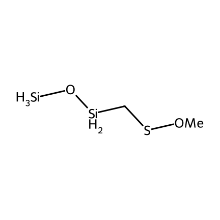 COSC[SiH2]O[SiH3]